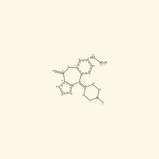 CN1CCC(=C2c3ccccc3CC(=O)c3sccc32)CC1.O=S(=O)(O)O